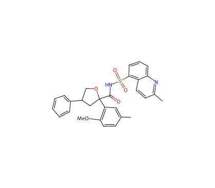 COc1ccc(C)cc1C1(C(=O)NS(=O)(=O)c2cccc3nc(C)ccc23)CC(c2ccccc2)CO1